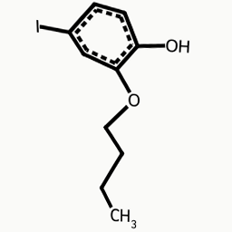 CCCCOc1cc(I)ccc1O